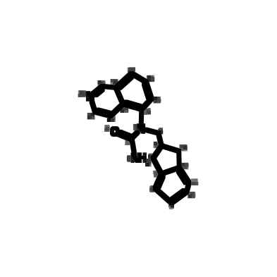 NC(=O)N(CC1Cc2ccccc2C1)c1cccc2cnccc12